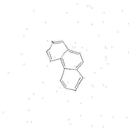 [c]1cccc2c1ccc1cnccc12